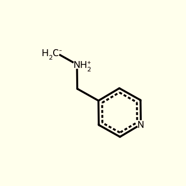 [CH2-][NH2+]Cc1ccncc1